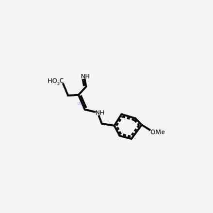 COc1ccc(CN/C=C(\C=N)CC(=O)O)cc1